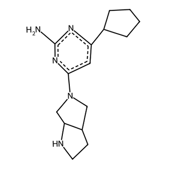 Nc1nc(C2CCCC2)cc(N2CC3CCNC3C2)n1